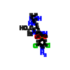 CCN(CC(=O)O)C(=O)[C@H](CCCNc1ncc[nH]1)NS(=O)(=O)c1cc(Cl)c(N)c(Cl)c1